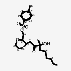 CCCCCCC(C)(O)C(=O)CC1OCCOC1COS(=O)(=O)c1ccc(C)cc1